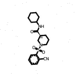 N#Cc1ccccc1S(=O)(=O)N1CCC[C@H](C(=O)NC2CCCCC2)C1